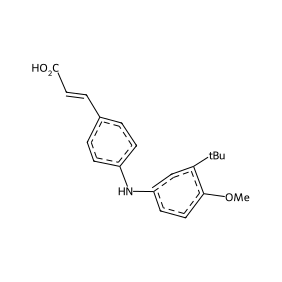 COc1ccc(Nc2ccc(/C=C/C(=O)O)cc2)cc1C(C)(C)C